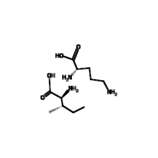 CC[C@H](C)[C@H](N)C(=O)O.NCCC[C@H](N)C(=O)O